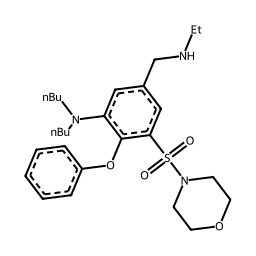 CCCCN(CCCC)c1cc(CNCC)cc(S(=O)(=O)N2CCOCC2)c1Oc1ccccc1